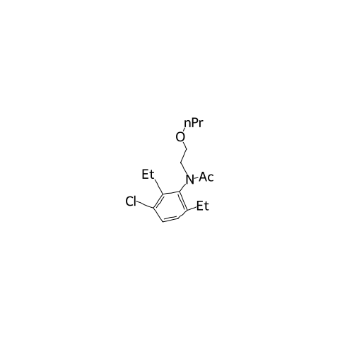 CCCOCCN(C(C)=O)c1c(CC)ccc(Cl)c1CC